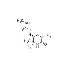 CNC(=O)ON=C1SC(C)C(=O)NC1(C)C